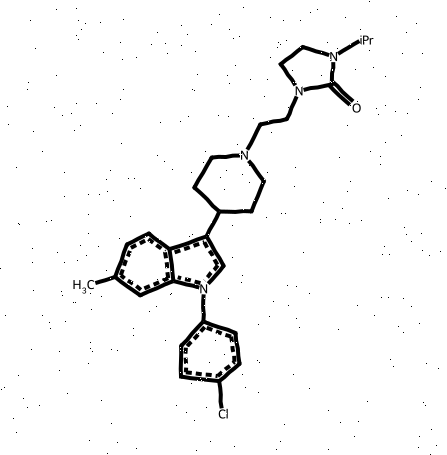 Cc1ccc2c(C3CCN(CCN4CCN(C(C)C)C4=O)CC3)cn(-c3ccc(Cl)cc3)c2c1